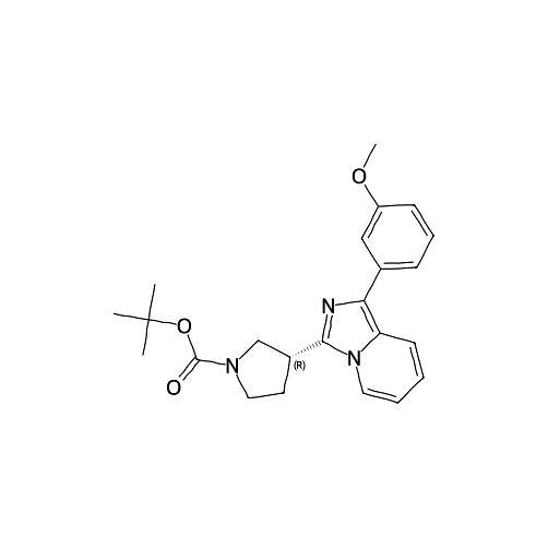 COc1cccc(-c2nc([C@@H]3CCN(C(=O)OC(C)(C)C)C3)n3ccccc23)c1